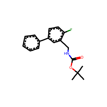 CC(C)(C)OC(=O)NCc1cc(-c2ccccc2)ccc1F